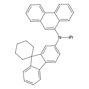 CC(C)N(c1ccc2c(c1)C1(CCCCC1)c1ccccc1-2)c1cc2ccccc2c2ccccc12